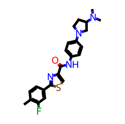 Cc1ccc(-c2nc(C(=O)Nc3ccc(N4CCC(N(C)C)C4)cc3)cs2)cc1F